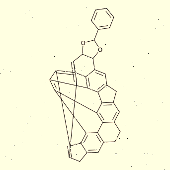 c1ccc(C2OC3c4cc5c6c7c(cc8c9c%10c(cc%11c%12c%13c(cc(c%14c4c6c(c%13%14)c(c97)c%10%12)C3O2)C%11)CC8)C5)cc1